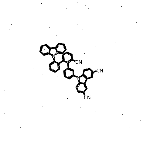 N#Cc1ccc2c(c1)c1cc(C#N)ccc1n2-c1cccc(-c2c(C#N)cccc2-c2ccccc2-n2c3ccccc3c3ccccc32)c1